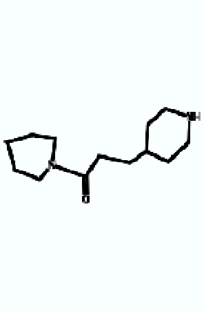 O=C(CCC1CCNCC1)N1CC[CH]CC1